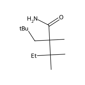 CCC(C)(C)C(C)(CC(C)(C)C)C(N)=O